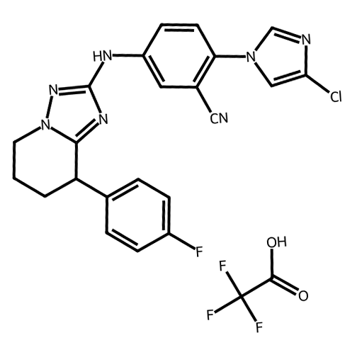 N#Cc1cc(Nc2nc3n(n2)CCCC3c2ccc(F)cc2)ccc1-n1cnc(Cl)c1.O=C(O)C(F)(F)F